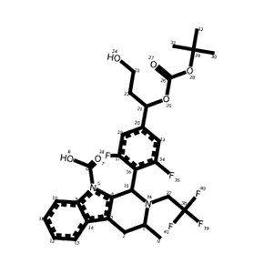 CC1Cc2c(n(C(=O)O)c3ccccc23)C(c2c(F)cc(C(CCO)OC(=O)OC(C)(C)C)cc2F)N1CC(F)(F)F